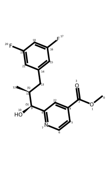 COC(=O)c1ccnc([C@@H](O)[C@@H](C)Cc2cc(F)cc(F)c2)c1